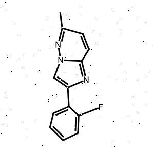 Cc1ccc2nc(-c3ccccc3F)cn2n1